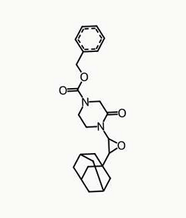 O=C(OCc1ccccc1)N1CCN(C2OC2C23CC4CC(CC(C4)C2)C3)C(=O)C1